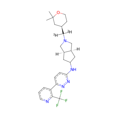 [2H]C([2H])([C@@H]1CCOC(C)(C)C1)N1C[C@H]2CC(Nc3ccc(-c4cccnc4C(F)(F)F)nn3)C[C@H]2C1